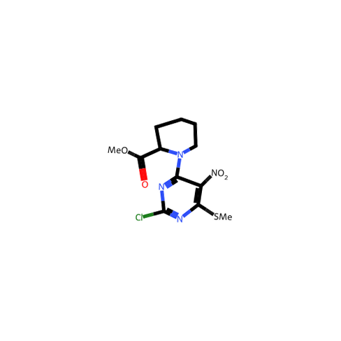 COC(=O)C1CCCCN1c1nc(Cl)nc(SC)c1[N+](=O)[O-]